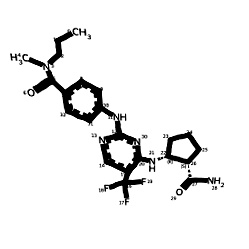 CCCN(C)C(=O)c1ccc(Nc2ncc(C(F)(F)F)c(N[C@@H]3CCC[C@@H]3C(N)=O)n2)cc1